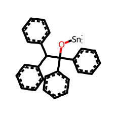 [Sn][O]C(c1ccccc1)(c1ccccc1)C(c1ccccc1)c1ccccc1